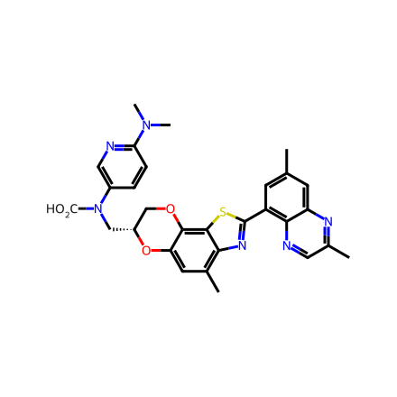 Cc1cc(-c2nc3c(C)cc4c(c3s2)OC[C@@H](CN(C(=O)O)c2ccc(N(C)C)nc2)O4)c2ncc(C)nc2c1